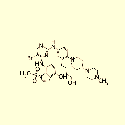 CN1CCN(C2CCN(c3ccc(Nc4ncc(Br)c(Nc5ccc(O)c6ccn(S(C)(=O)=O)c56)n4)cc3CCCCO)CC2)CC1